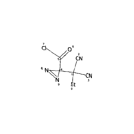 CCC(C#N)(C#N)C1(C(=O)Cl)N=N1